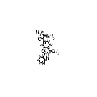 CC(NC(=O)c1cccnc1)C1CCN(C(=O)[C@H](C)N)CC1